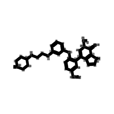 CC(=O)Nc1ccc(Oc2cccc(OCCOC3CCNCC3)c2)c(-c2cn(C)c(=O)c3[nH]ccc23)c1